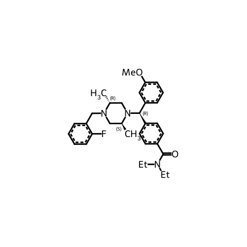 CCN(CC)C(=O)c1ccc([C@H](c2cccc(OC)c2)N2C[C@@H](C)N(Cc3ccccc3F)C[C@@H]2C)cc1